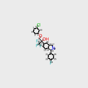 OC(COc1cccc(Cl)c1)(c1ccc2c(c1)C=NC2c1ccc(F)cc1)C(F)(F)F